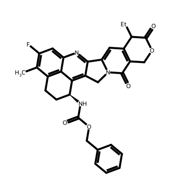 CCC1C(=O)OCc2c1cc1n(c2=O)Cc2c-1nc1cc(F)c(C)c3c1c2[C@@H](NC(=O)OCc1ccccc1)CC3